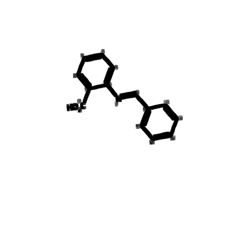 O=C(O)c1ccccc1N=Cc1ccccc1